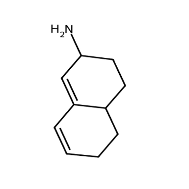 NC1C=C2C=CCCC2CC1